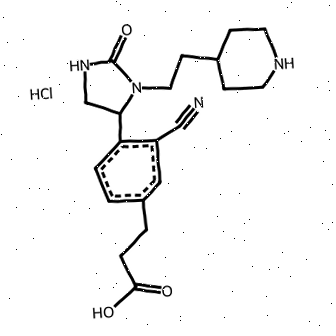 Cl.N#Cc1cc(CCC(=O)O)ccc1C1CNC(=O)N1CCC1CCNCC1